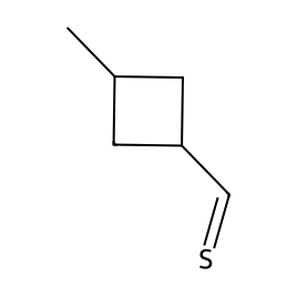 CC1CC(C=S)C1